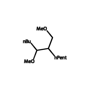 CCCCCC(COC)C(CCCC)OC